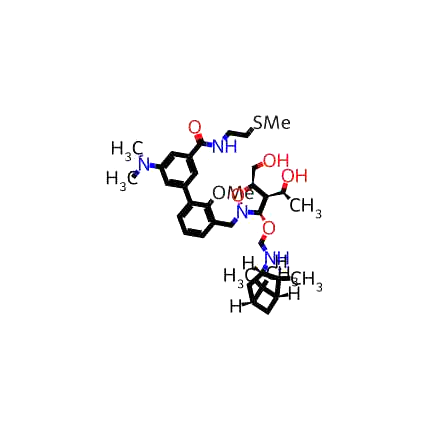 COc1c(CN2O[C@@H](CO)[C@@H]([C@H](C)O)[C@H]2OCN[C@H]2C[C@H]3C[C@@H]([C@@H]2C)C3(C)C)cccc1-c1cc(C(=O)NCCSC)cc(N(C)C)c1